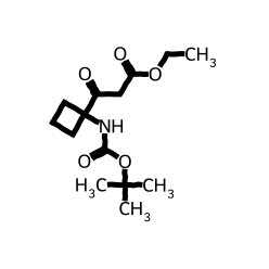 CCOC(=O)CC(=O)C1(NC(=O)OC(C)(C)C)CCC1